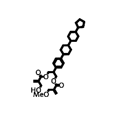 C=C(CO)C(=O)OCC(COC(=O)C(=C)COC)c1ccc(C2CCC(C3CCC(C4CCCC4)CC3)CC2)cc1